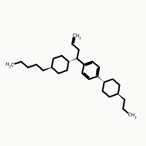 C=CCC(c1ccc([C@H]2CC[C@H](CCC)CC2)cc1)[C@H]1CC[C@H](CCCCC)CC1